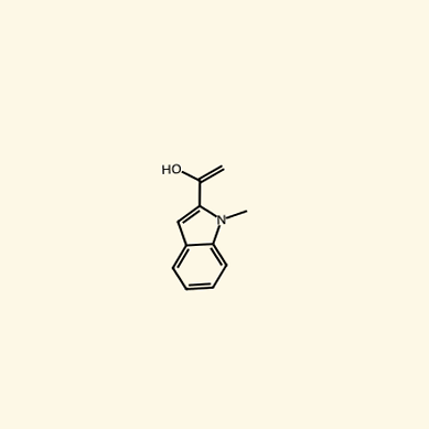 C=C(O)c1cc2ccccc2n1C